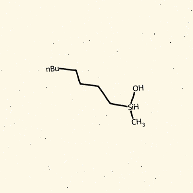 CCCCCCCC[SiH](C)O